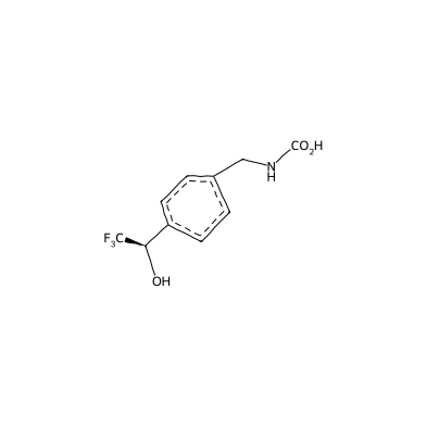 O=C(O)NCc1ccc([C@@H](O)C(F)(F)F)cc1